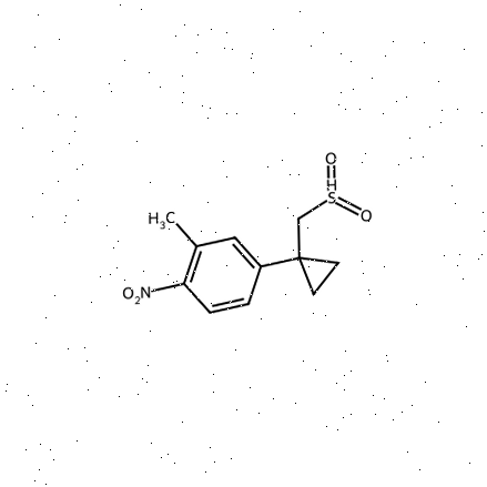 Cc1cc(C2(C[SH](=O)=O)CC2)ccc1[N+](=O)[O-]